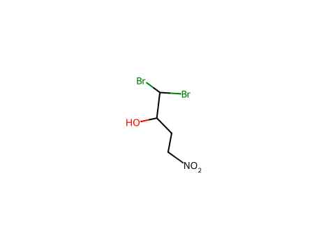 O=[N+]([O-])CCC(O)C(Br)Br